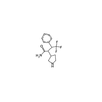 NC(=O)C(C1CCNC1)C(c1ccccc1)C(F)(F)F